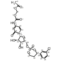 CC(=O)OCOC(=O)Nc1ccn([C@@H]2O[C@H](COP3(=O)OCC[C@@H](c4cccc(Cl)c4)O3)[C@@H](O)[C@H]2O)c(=O)n1